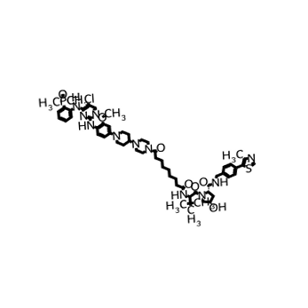 COc1cc(N2CCC(N3CCN(C(=O)CCCCCCCC(=O)NC(C(=O)N4C[C@H](O)C[C@H]4C(=O)NCc4ccc(-c5scnc5C)cc4)C(C)(C)C)CC3)CC2)ccc1Nc1ncc(Cl)c(Nc2ccccc2P(C)(C)=O)n1